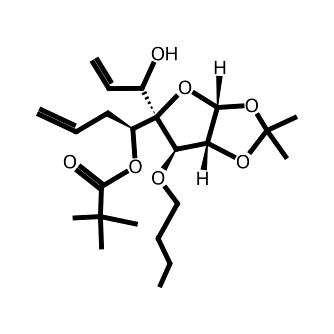 C=CC[C@H](OC(=O)C(C)(C)C)[C@@]1(C(O)C=C)O[C@@H]2OC(C)(C)O[C@@H]2[C@H]1OCCCC